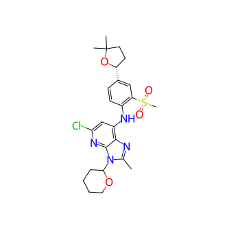 Cc1nc2c(Nc3ccc([C@H]4CCC(C)(C)O4)cc3S(C)(=O)=O)cc(Cl)nc2n1C1CCCCO1